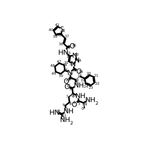 C[C@H](N)C(=O)N[C@@H](CCCNC(=N)N)C(=O)N[C@@H](Cc1ccccc1)C(=O)N(C(=O)n1cc(NC(=O)C=Cc2cccs2)nn1)C1CCCCC1